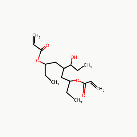 C=CC(=O)OC(CC)C[C](CC(CC)OC(=O)C=C)C(O)CC